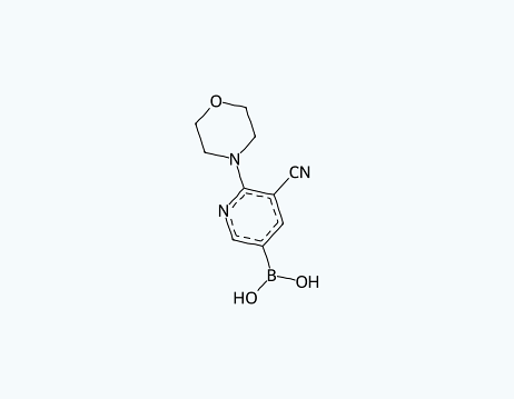 N#Cc1cc(B(O)O)cnc1N1CCOCC1